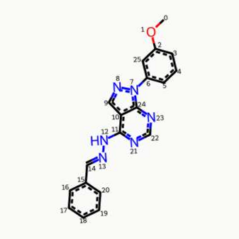 COc1cccc(-n2ncc3c(N/N=C/c4ccccc4)ncnc32)c1